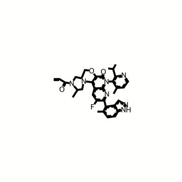 C=CC(=O)N1CC2COc3c(c4cc(F)c(-c5c(C)ccc6[nH]ncc56)nc4n(-c4c(C)ccnc4C(C)C)c3=O)N2CC1C